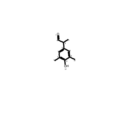 Cc1cc(C(C)C=O)cc(C)c1O